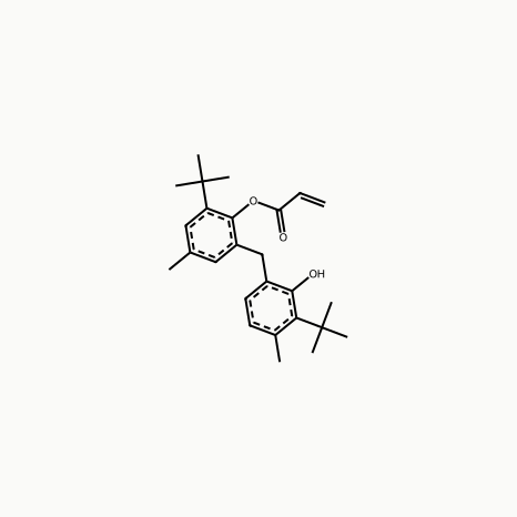 C=CC(=O)Oc1c(Cc2ccc(C)c(C(C)(C)C)c2O)cc(C)cc1C(C)(C)C